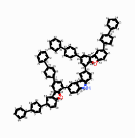 c1ccc(-c2ccc(-c3ccc4oc5c(-c6ccc7[nH]c8ccc(-c9cc(-c%10ccc(-c%11ccccc%11)cc%10)cc%10c9oc9ccc(-c%11ccc(-c%12ccccc%12)cc%11)cc9%10)cc8c7c6)cc(-c6ccc(-c7ccccc7)cc6)cc5c4c3)cc2)cc1